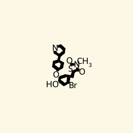 CN1C(=O)S/C(=C\c2cc(Oc3ccc(-c4cccnc4)cc3)c(O)cc2Br)C1=O